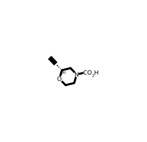 C#C[C@@H]1CN(C(=O)O)CCO1